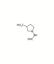 O=CBN1CCC(C(=O)O)C1